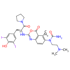 Cc1c(N(CCN(C)C)C(N)=O)ccc2nc(N[C@@H](Cc3cc(I)c(O)c(I)c3)C(=O)N3CCCC3)oc(=O)c12